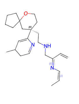 C=C/C(CNCC[C@@]1(C2=CC(C)CC=N2)CCOC2(CCCC2)C1)=N\C=C/C